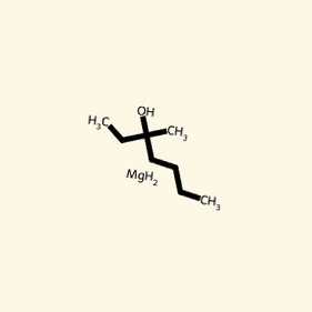 CCCCC(C)(O)CC.[MgH2]